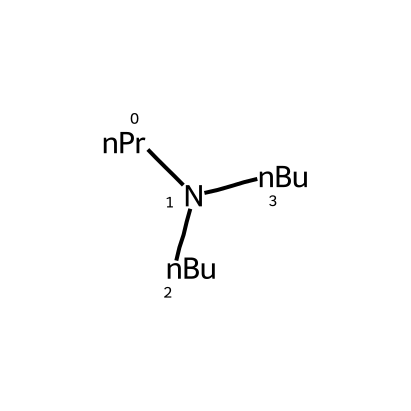 [CH2]CCN(CCCC)CCCC